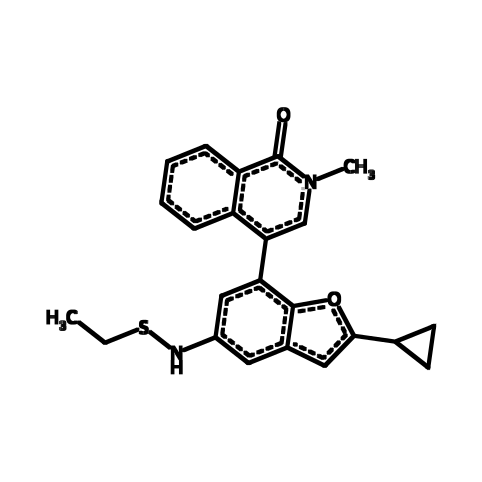 CCSNc1cc(-c2cn(C)c(=O)c3ccccc23)c2oc(C3CC3)cc2c1